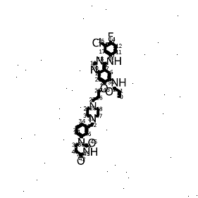 C=CC(=O)Nc1cc2c(Nc3ccc(F)c(Cl)c3)ncnc2cc1OCCCN1CCN(Cc2cccc(N3CCC(=O)NC3=O)c2)CC1